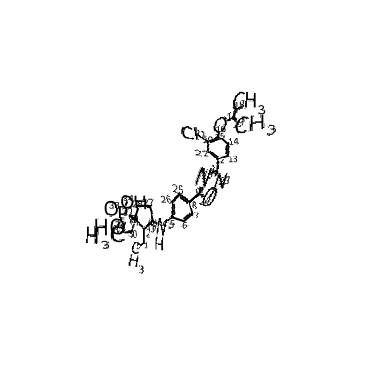 CCC1[C@H](Nc2ccc(-c3nc(-c4ccc(OC(C)C)c(Cl)c4)no3)cc2)CC[C@@]1(CC)P(=O)(O)O